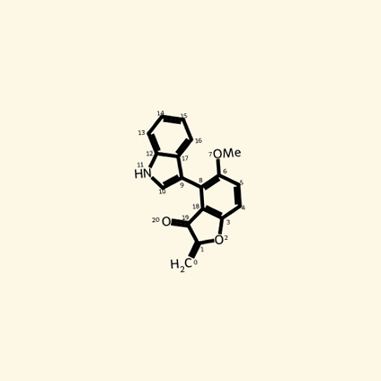 C=C1Oc2ccc(OC)c(-c3c[nH]c4ccccc34)c2C1=O